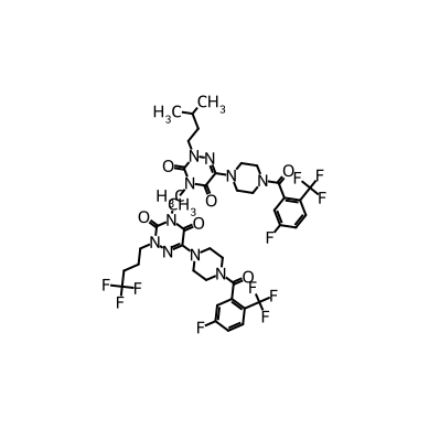 CC(C)CCn1nc(N2CCN(C(=O)c3cc(F)ccc3C(F)(F)F)CC2)c(=O)n(C)c1=O.Cn1c(=O)c(N2CCN(C(=O)c3cc(F)ccc3C(F)(F)F)CC2)nn(CCCC(F)(F)F)c1=O